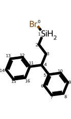 Br[SiH2]CCC(c1ccccc1)c1ccccc1